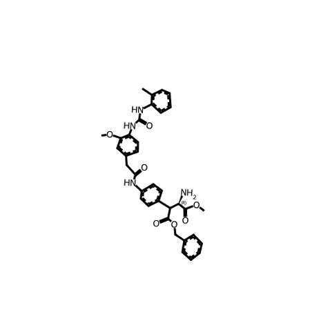 COC(=O)[C@H](N)C(C(=O)OCc1ccccc1)c1ccc(NC(=O)Cc2ccc(NC(=O)Nc3ccccc3C)c(OC)c2)cc1